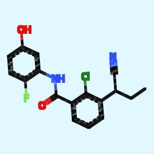 CCC(C#N)c1cccc(C(=O)Nc2cc(O)ccc2F)c1Cl